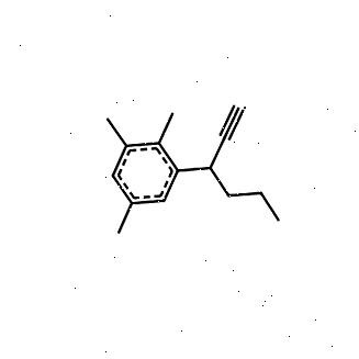 [C]#CC(CCC)c1cc(C)cc(C)c1C